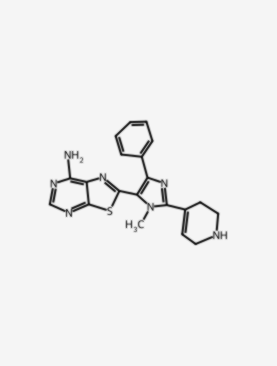 Cn1c(C2=CCNCC2)nc(-c2ccccc2)c1-c1nc2c(N)ncnc2s1